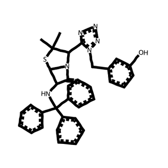 CC1(C)SC2C(NC(c3ccccc3)(c3ccccc3)c3ccccc3)C(=O)N2C1c1nnnn1Cc1cccc(O)c1